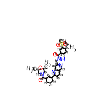 Cc1ccc(C(=O)NCc2cc3nc(C4=CC(C(=O)N5C[C@@H](C)O[C@@H](C)C5)CCC4)ccc3cn2)cc1S(C)(=O)=O